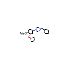 COc1ccc(N2CCN(CC3CCCCC3)CC2)cc1OC1CCCC1